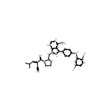 CC(C)C=C(C#N)C(=O)N1CCCC1Cn1nc(-c2ccc(Oc3cc(F)ccc3F)cc2)c2c(N)ncnc21